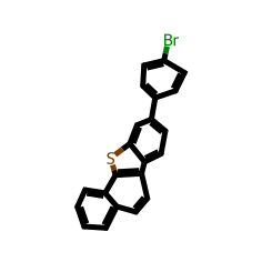 Brc1ccc(-c2ccc3c(c2)sc2c4ccccc4ccc32)cc1